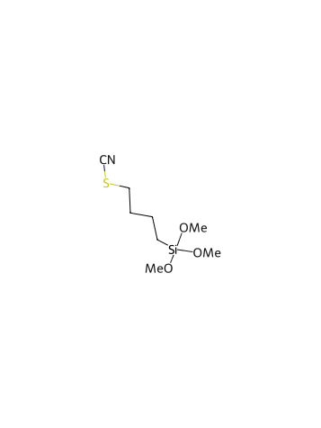 CO[Si](CCCCSC#N)(OC)OC